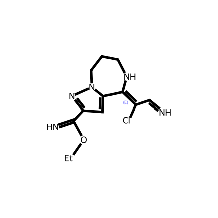 CCOC(=N)c1cc2n(n1)CCCN/C2=C(/Cl)C=N